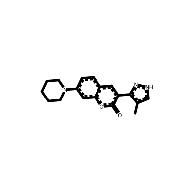 Cc1c[nH]nc1-c1cc2ccc(N3CCCCC3)cc2oc1=O